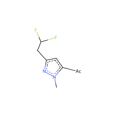 CC(=O)c1cc(CC(F)F)nn1C